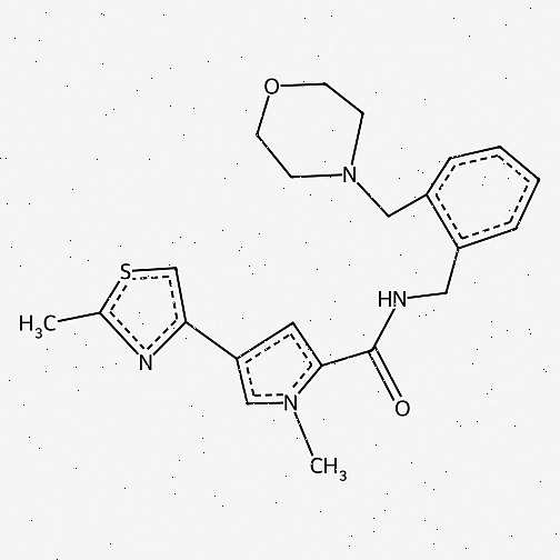 Cc1nc(-c2cc(C(=O)NCc3ccccc3CN3CCOCC3)n(C)c2)cs1